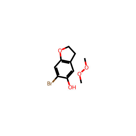 COOC.Oc1cc2c(cc1Br)OCC2